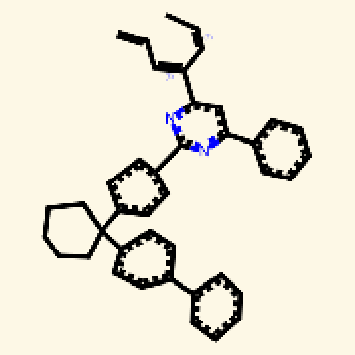 C=C/C=C(\C=C/C)c1cc(-c2ccccc2)nc(-c2ccc(C3(c4ccc(-c5ccccc5)cc4)CCCCC3)cc2)n1